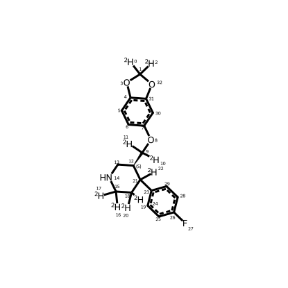 [2H]C1([2H])Oc2ccc(OC([2H])([2H])[C@@H]3CNC([2H])([2H])C([2H])([2H])C3([2H])c3ccc(F)cc3)cc2O1